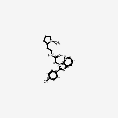 CN1CCCC1CCNC(=O)Cn1c(-c2ccc(Cl)cc2)nc2cccnc21